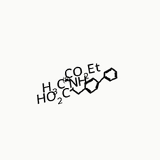 CCOC(=O)[C@H](C)NC(Cc1ccc(-c2ccccc2)cc1)C(=O)O